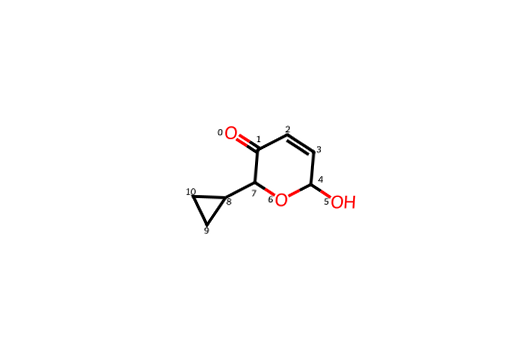 O=C1C=CC(O)OC1C1CC1